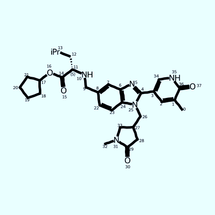 Cc1cc(-c2nc3cc(CN[C@@H](CC(C)C)C(=O)OC4CCCC4)ccc3n2CC2CC(=O)N(C)C2)c[nH]c1=O